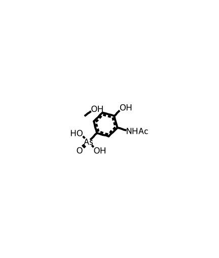 CC(=O)Nc1cc([As](=O)(O)O)ccc1O.CO